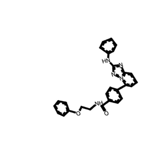 O=C(NCCOc1ccccc1)c1ccc(-c2cccc3nc(Nc4ccccc4)nn23)cc1